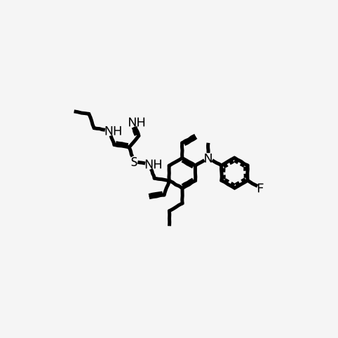 C=CC1=C(N(C)c2ccc(F)cc2)C=C(CCC)C(C=C)(CNS/C(C=N)=C/NCCC)C1